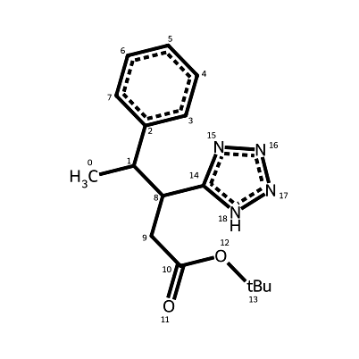 CC(c1ccccc1)C(CC(=O)OC(C)(C)C)c1nnn[nH]1